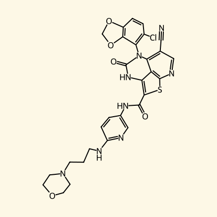 N#Cc1cnc2sc(C(=O)Nc3ccc(NCCCN4CCOCC4)nc3)c3c2c1N(c1c(Cl)ccc2c1OCO2)C(=O)N3